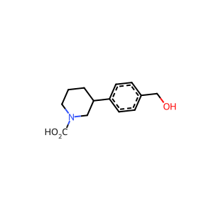 O=C(O)N1CCCC(c2ccc(CO)cc2)C1